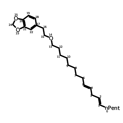 CCCCCC=CCC=CCCCCCCCCOCCc1ccc2c(c1)OCO2